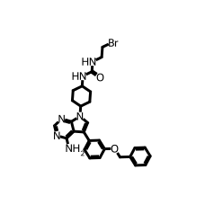 Nc1ncnc2c1c(-c1cccc(OCc3ccccc3)c1)cn2C1CCC(NC(=O)NCCBr)CC1